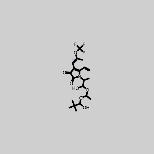 C=CC1=C(/C=C(\C)OC(F)(F)F)C(=O)C(=O)N1C(C)C(O)OC(C)OC(O)C(C)(C)C